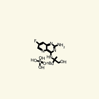 CCCCC(C)(CO)Nc1nc(N)nc2cc(F)cnc12.O=P(O)(O)O